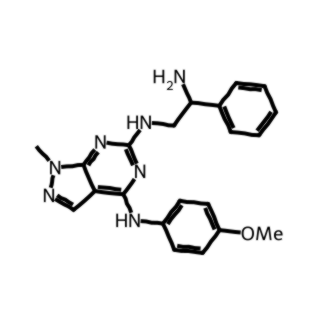 COc1ccc(Nc2nc(NCC(N)c3ccccc3)nc3c2cnn3C)cc1